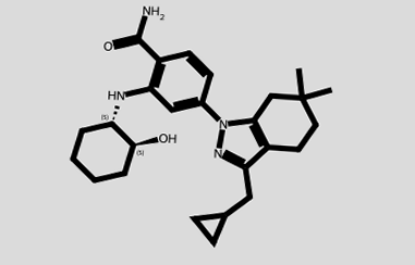 CC1(C)CCc2c(CC3CC3)nn(-c3ccc(C(N)=O)c(N[C@H]4CCCC[C@@H]4O)c3)c2C1